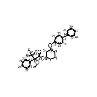 CO[C@](C(=O)O[C@H]1CCC[C@@H](Oc2ccc(-c3ccccc3)cc2)C1)(c1ccccc1)C(F)(F)F